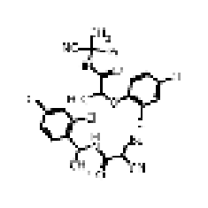 CC(NC(=O)C(C#N)C(C)(C)C)c1ccc(Cl)cc1Cl.CC(Oc1ccc(Cl)cc1Cl)C(=O)NC(C)(C#N)C(C)C